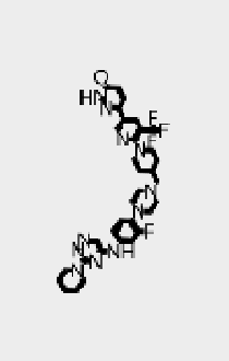 O=c1ccc(-c2cnc(N3CCC(CN4CCN(c5ccc(Nc6cnnc(N7CCCCC7)n6)cc5F)CC4)CC3)c(C(F)(F)F)c2)n[nH]1